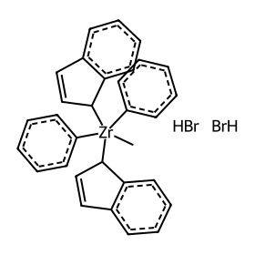 Br.Br.[CH3][Zr]([c]1ccccc1)([c]1ccccc1)([CH]1C=Cc2ccccc21)[CH]1C=Cc2ccccc21